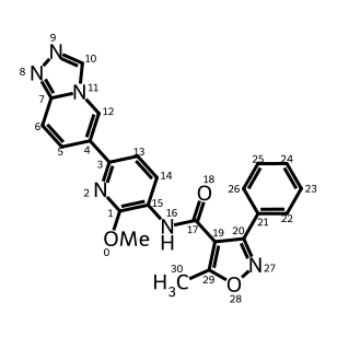 COc1nc(-c2ccc3nncn3c2)ccc1NC(=O)c1c(-c2ccccc2)noc1C